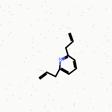 C=CCc1cccc(CC=C)n1